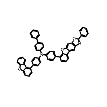 c1ccc(-c2ccc(N(c3ccc(-c4cccc5c4oc4cc6oc(-c7ccccc7)nc6cc45)cc3)c3ccc(-c4cccc5oc6ccccc6c45)cc3)cc2)cc1